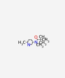 Cc1ccc(N(C)C(=O)C(C)(C)C)cn1